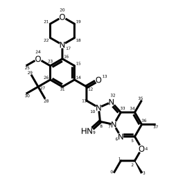 CC[C@H](C)Oc1nn2c(=N)n(CC(=O)c3cc(N4CCOCC4)c(OC)c(C(C)(C)C)c3)nc2c(C)c1C